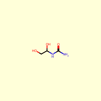 NC(=O)NC(O)CO